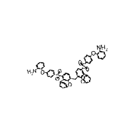 Nc1ccccc1Oc1ccc(S(=O)(=O)c2ccc(Cc3ccc(S(=O)(=O)c4ccc(Oc5ccccc5N)cc4)c4c3Oc3ccc-4cc3)c3c2-c2ccc(cc2)O3)cc1